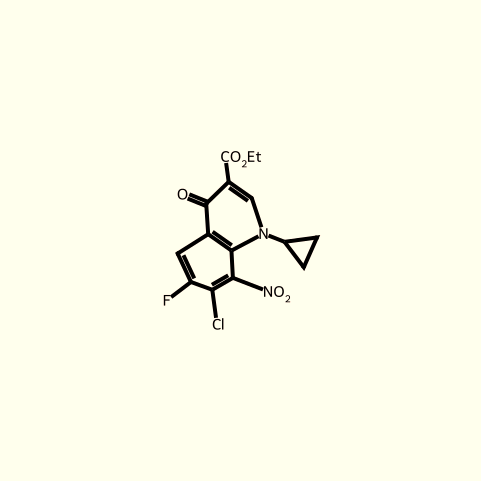 CCOC(=O)c1cn(C2CC2)c2c([N+](=O)[O-])c(Cl)c(F)cc2c1=O